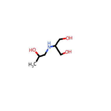 CC(O)CNC(CO)CO